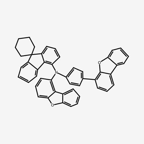 c1ccc2c(c1)-c1c(N(c3ccc(-c4cccc5c4oc4ccccc45)cc3)c3cccc4oc5ccccc5c34)cccc1C21CCCCC1